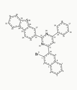 Brc1cc2ccccc2cc1-c1cc(-c2ccccc2)nc(-c2ccc3c(c2)sc2ccccc23)n1